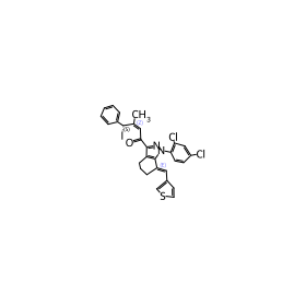 C/C(=C/C(=O)c1nn(-c2ccc(Cl)cc2Cl)c2c1CCC/C2=C\c1ccsc1)[C@H](I)c1ccccc1